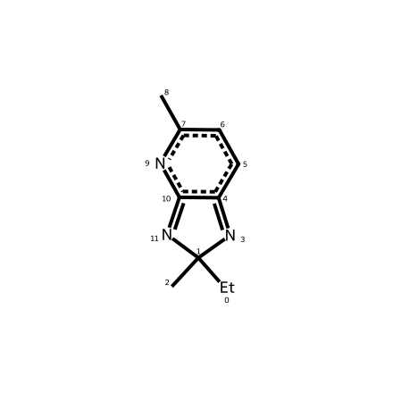 CCC1(C)N=c2ccc(C)nc2=N1